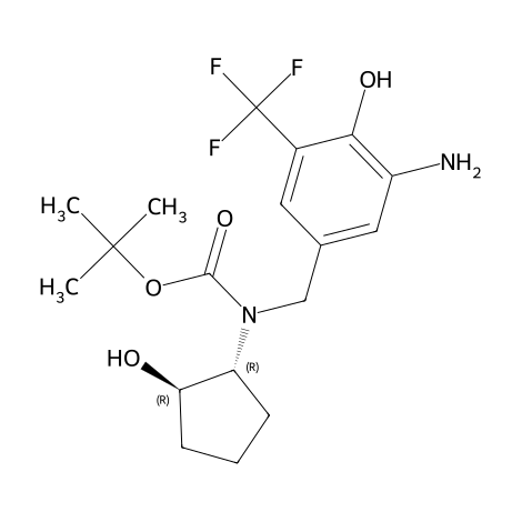 CC(C)(C)OC(=O)N(Cc1cc(N)c(O)c(C(F)(F)F)c1)[C@@H]1CCC[C@H]1O